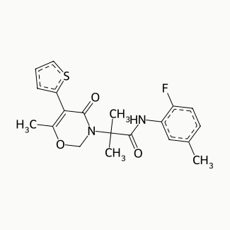 CC1=C(c2cccs2)C(=O)N(C(C)(C)C(=O)Nc2cc(C)ccc2F)CO1